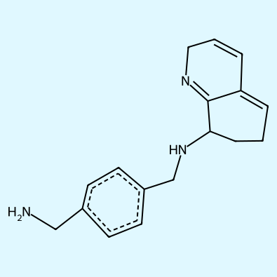 NCc1ccc(CNC2CCC=C3C=CCN=C32)cc1